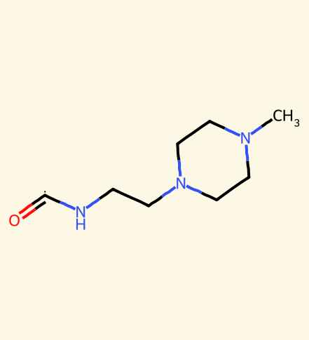 CN1CCN(CCN[C]=O)CC1